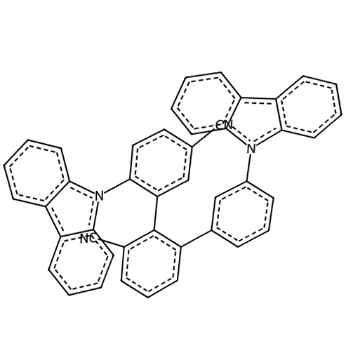 N#Cc1ccc(-n2c3ccccc3c3ccccc32)c(-c2c(C#N)cccc2-c2cccc(-n3c4ccccc4c4ccccc43)c2)c1